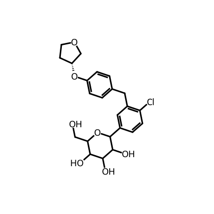 OCC1OC(c2ccc(Cl)c(Cc3ccc(O[C@@H]4CCOC4)cc3)c2)C(O)C(O)C1O